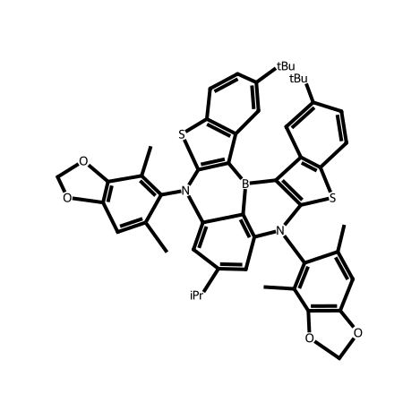 Cc1cc2c(c(C)c1N1c3cc(C(C)C)cc4c3B(c3c1sc1ccc(C(C)(C)C)cc31)c1c(sc3ccc(C(C)(C)C)cc13)N4c1c(C)cc3c(c1C)OCO3)OCO2